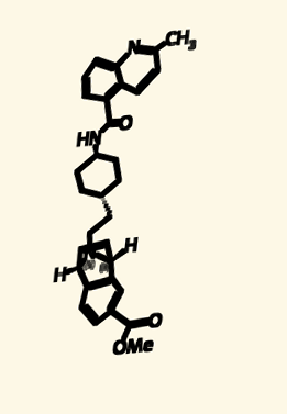 COC(=O)c1ccc2c(c1)[C@H]1C=C[C@@H]2N1CC[C@H]1CC[C@H](NC(=O)c2cccc3nc(C)ccc23)CC1